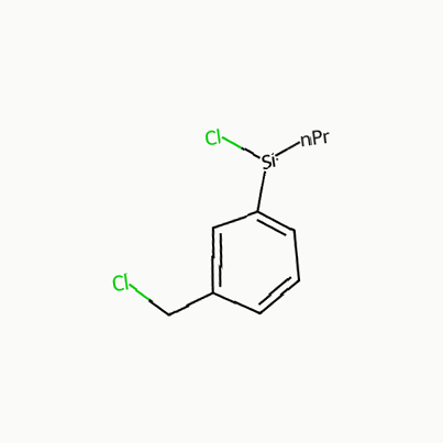 CCC[Si](Cl)c1cccc(CCl)c1